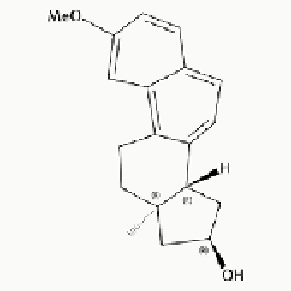 COc1ccc2ccc3c(c2c1)CC[C@]1(C)C[C@H](O)C[C@@H]31